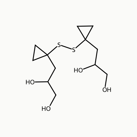 OCC(O)CC1(SSC2(CC(O)CO)CC2)CC1